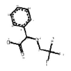 O=C(Cl)C(OCC(F)(F)F)c1ccccc1